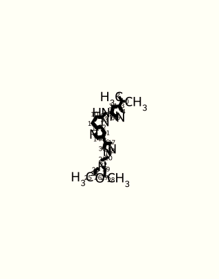 CC(C)c1cnnc(Nc2ccc3ncc(-c4cnn(CCN5C[C@H](C)O[C@@H](C)C5)c4)cc3n2)c1